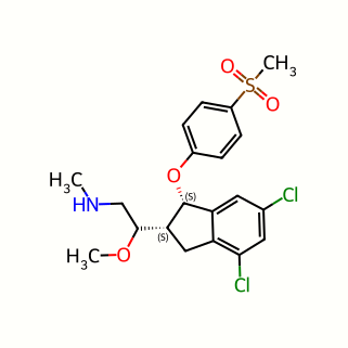 CNCC(OC)[C@H]1Cc2c(Cl)cc(Cl)cc2[C@H]1Oc1ccc(S(C)(=O)=O)cc1